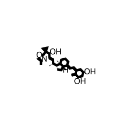 C=C1/C(=C\C=C2/CCC[C@]3(C)[C@@H]([C@H](C)/C=C/[C@@H](O)C4(c5nc(C)co5)CC4)CC[C@@H]23)C[C@@H](O)C[C@@H]1O